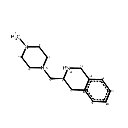 CN1CCN(C[C@@H]2Cc3ccccc3CN2)CC1